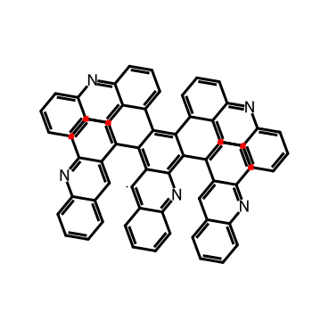 [c]1c2ccccc2nc2c(-c3cccc4nc5ccccc5cc34)c(-c3cccc4nc5ccccc5cc34)c(-c3cccc4nc5ccccc5cc34)c(-c3cccc4nc5ccccc5cc34)c12